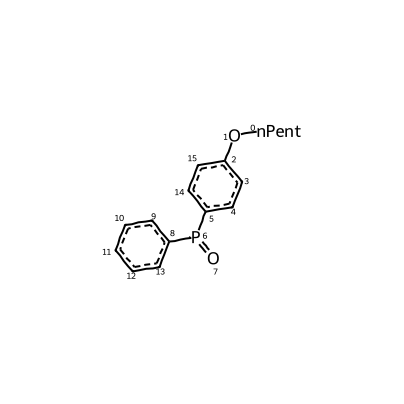 CCCCCOc1ccc([P](=O)c2ccccc2)cc1